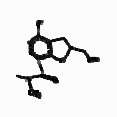 COCC1Cc2c(Br)ccc(C(=O)N(C)OC)c2O1